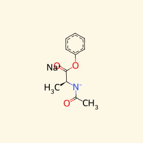 CC(=O)[N-][C@@H](C)C(=O)Oc1ccccc1.[Na+]